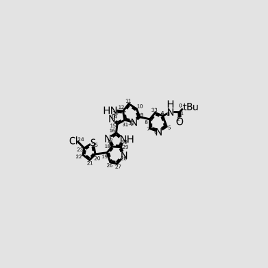 CC(C)(C)C(=O)Nc1cncc(-c2ccc3[nH]nc(-c4nc5c(-c6ccc(Cl)s6)ccnc5[nH]4)c3n2)c1